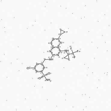 NS(=O)(=O)c1cc(Cl)cc(CNc2nc(NC3(C(F)(F)F)CC3)c3nc(C4CC4)ccc3n2)c1